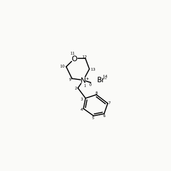 C[N+]1(Cc2ccccc2)CCOCC1.[Br-]